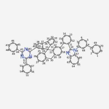 c1ccc(-c2cccc(-n3c(-c4ccccc4-c4ccc5c(c4)C4(c6ccccc6C5)c5ccccc5-c5ccc(-c6nc(-c7ccccc7)nc(-c7ccccc7)n6)cc54)nc4ccccc43)c2)cc1